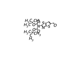 CC(C)(C)OC(=O)N(C(=O)OC(C)(C)C)c1nc2sc(C=O)cc2s1